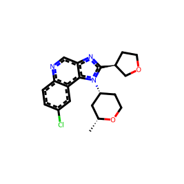 C[C@@H]1C[C@H](n2c([C@H]3CCOC3)nc3cnc4ccc(Cl)cc4c32)CCO1